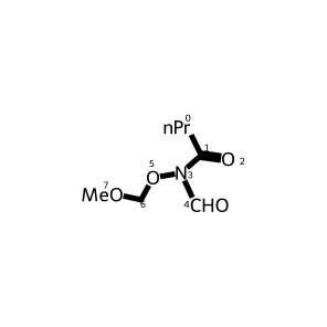 CCCC(=O)N(C=O)OCOC